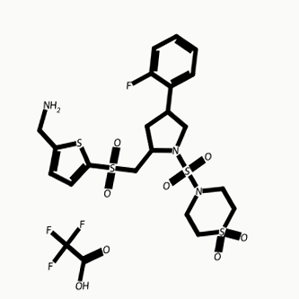 NCc1ccc(S(=O)(=O)CC2CC(c3ccccc3F)CN2S(=O)(=O)N2CCS(=O)(=O)CC2)s1.O=C(O)C(F)(F)F